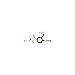 COc1ccc(S(=O)(=O)CCCl)cc1CN